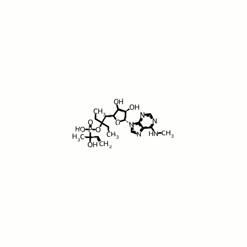 C=CC(C)(O)P(=O)(O)OC(CC)(CC)CC1O[C@@H](n2cnc3c(NC)ncnc32)[C@H](O)C1O